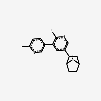 Cc1ccc(-c2cc(C3CC4CCC3N4)cnc2F)cn1